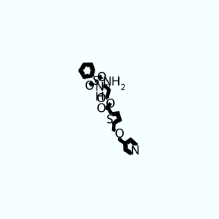 N[C@H](CC(=O)OC(=O)c1ccc(COCc2ccncc2)s1)NS(=O)(=O)c1ccccc1